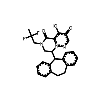 CC(F)(F)CN1CC(C2c3ccccc3CCc3ccccc32)n2ncc(=O)c(O)c2C1=O